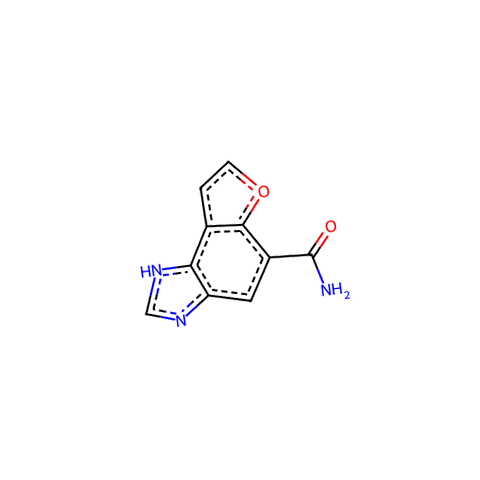 NC(=O)c1cc2nc[nH]c2c2ccoc12